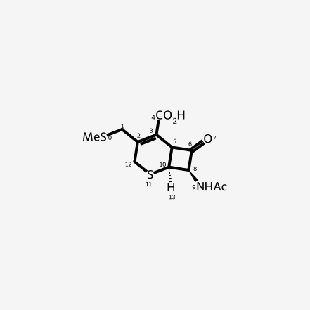 CSCC1=C(C(=O)O)C2C(=O)[C@@H](NC(C)=O)[C@H]2SC1